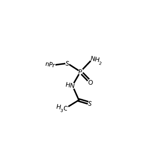 CCCSP(N)(=O)NC(C)=S